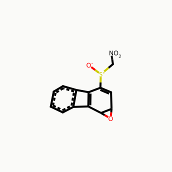 O=[N+]([O-])C[S+]([O-])C1=CC2OC2C2=C1c1ccccc12